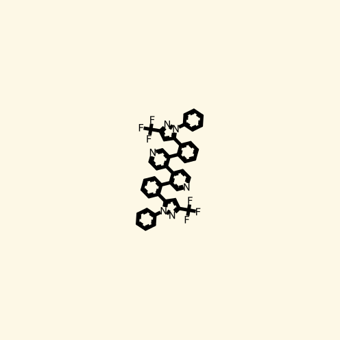 FC(F)(F)c1cc(-c2ccccc2-c2cnccc2-c2ccncc2-c2ccccc2-c2cc(C(F)(F)F)nn2-c2ccccc2)n(-c2ccccc2)n1